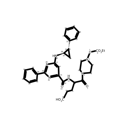 CCOC(=O)ON1CCN(C(=O)C(CCC(=O)O)NC(=O)c2cc(N[C@@H]3C[C@H]3c3ccccc3)nc(-c3ccccc3)n2)CC1